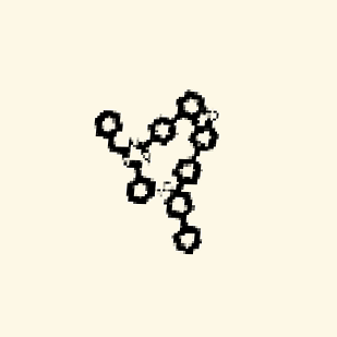 CC1(c2ccc(-c3ccc4oc5cccc(-c6ccc(-c7nc(Cc8ccccc8)nc(-c8ccccc8)n7)cc6)c5c4c3)cc2)C=CC(c2ccccc2)=CC1